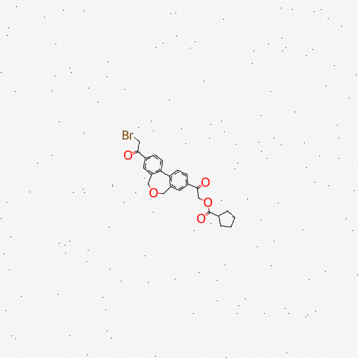 O=C(CBr)c1ccc2c(c1)COCc1cc(C(=O)COC(=O)C3CCCC3)ccc1-2